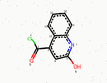 O=C(Cl)c1cc(O)nc2ccccc12